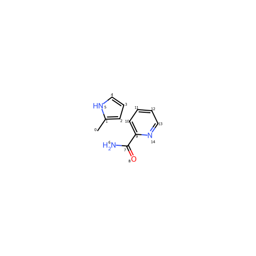 Cc1ccc[nH]1.NC(=O)c1ccccn1